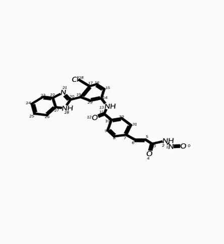 O=NNC(=O)/C=C/c1ccc(C(=O)Nc2ccc(Cl)c(-c3nc4ccccc4[nH]3)c2)cc1